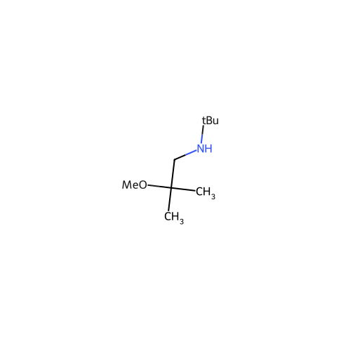 COC(C)(C)CNC(C)(C)C